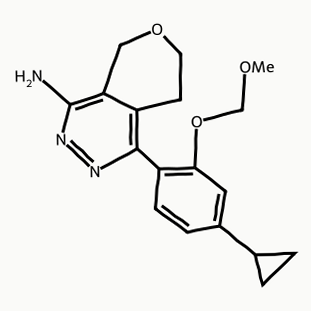 COCOc1cc(C2CC2)ccc1-c1nnc(N)c2c1CCOC2